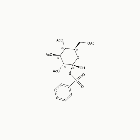 CC(=O)OC[C@H]1O[C@](O)(SS(=O)(=O)c2ccccc2)[C@H](OC(C)=O)[C@@H](OC(C)=O)[C@@H]1OC(C)=O